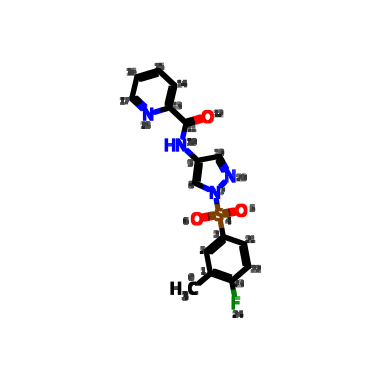 Cc1cc(S(=O)(=O)n2cc(NC(=O)c3ccccn3)cn2)ccc1F